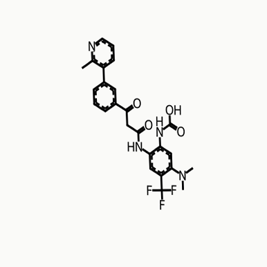 Cc1ncccc1-c1cccc(C(=O)CC(=O)Nc2cc(C(F)(F)F)c(N(C)C)cc2NC(=O)O)c1